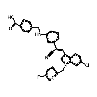 N#C/C(=C\c1cn(Cc2ccc(F)cc2)c2cc(Cl)ccc12)c1cccc(NCc2ccc(C(=O)O)cc2)c1